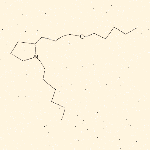 CCCCCCCCCC1CCCN1CCCCCC